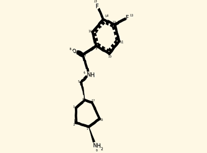 N[C@H]1CC[C@@H](CNC(=O)c2ccc(F)c(F)c2)CC1